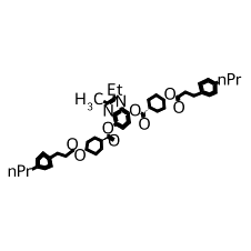 CCCc1ccc(CCC(=O)O[C@H]2CC[C@H](C(=O)Oc3ccc(OC(=O)[C@H]4CC[C@H](OC(=O)CCc5ccc(CCC)cc5)CC4)c4nc(CC)c(C)nc34)CC2)cc1